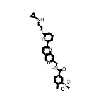 Cc1ccc(C(=O)NCc2cc3nc(-c4cccc(OCCNC5CC5)n4)ccc3cn2)cc1S(C)(=O)=O